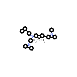 CC1(C)c2cc(-c3ccc4c5ccccc5n(-c5ccccc5)c4c3)ccc2-c2ccc(N(c3ccc(-c4cccc5ccccc45)cc3)c3ccc(-n4c5ccccc5c5ccccc54)cc3)cc21